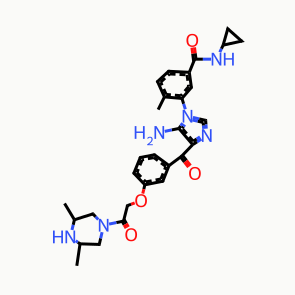 Cc1ccc(C(=O)NC2CC2)cc1-n1cnc(C(=O)c2cccc(OCC(=O)N3CC(C)NC(C)C3)c2)c1N